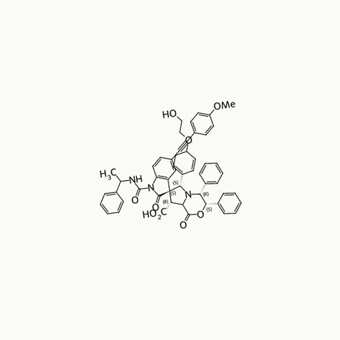 COc1ccc(C#Cc2ccc3c(c2)[C@]2(C(=O)N3C(=O)NC(C)c3ccccc3)[C@H](C3=CCC(OCCO)C=C3)N3C(C(=O)O[C@@H](c4ccccc4)[C@H]3c3ccccc3)[C@@H]2C(=O)O)cc1